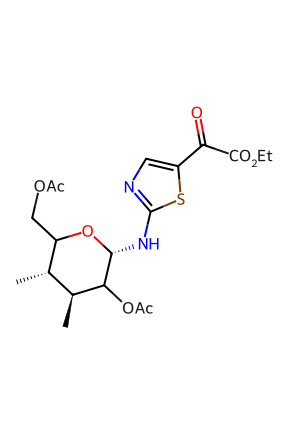 CCOC(=O)C(=O)c1cnc(N[C@H]2OC(COC(C)=O)[C@@H](C)[C@H](C)C2OC(C)=O)s1